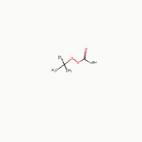 CCCCC(=O)OOC(C)(C)CC